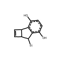 CCC1c2c(O)ccc(O)c2C2C=CC21